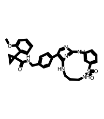 COc1ccccc1C1(C(=O)NCc2ccc(-c3cnc4nc3NCCCNS(=O)(=O)c3cccc(c3)N4)cc2)CC1